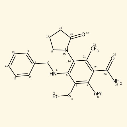 CCCc1c(SCC)c(NCc2ccccc2)c(N2CCCC2=O)c(C(F)(F)F)c1C(N)=O